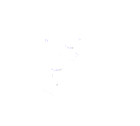 CCCNc1ncc(-c2nc3ccccc3s2)c(CC#N)n1